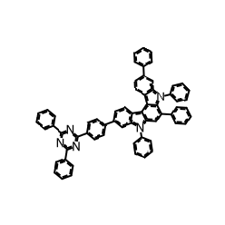 c1ccc(-c2ccc3c4c5c6ccc(-c7ccc(-c8nc(-c9ccccc9)nc(-c9ccccc9)n8)cc7)cc6n(-c6ccccc6)c5cc(-c5ccccc5)c4n(-c4ccccc4)c3c2)cc1